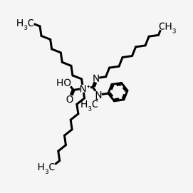 CCCCCCCCCC/N=C(\N(C)c1ccccc1)[N+](CCCCCCCCCC)(CCCCCCCCCC)C(=O)O